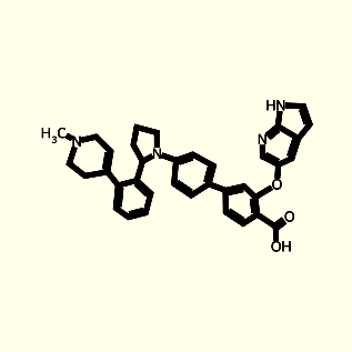 CN1CC=C(c2ccccc2C2CCCN2c2ccc(-c3ccc(C(=O)O)c(Oc4cnc5[nH]ccc5c4)c3)cc2)CC1